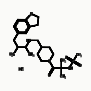 CC(Cc1ccc2c(c1)CCO2)C(C)NCC1CCN(C(=O)C(C)(C)NS(C)(=O)=O)CC1.Cl